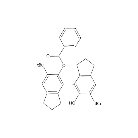 CC(C)(C)c1cc2c(c(-c3c4c(cc(C(C)(C)C)c3OC(=O)c3ccccc3)CCC4)c1O)CCC2